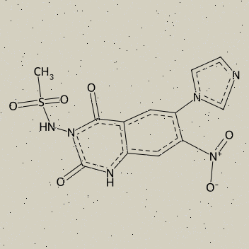 CS(=O)(=O)Nn1c(=O)[nH]c2cc([N+](=O)[O-])c(-n3ccnc3)cc2c1=O